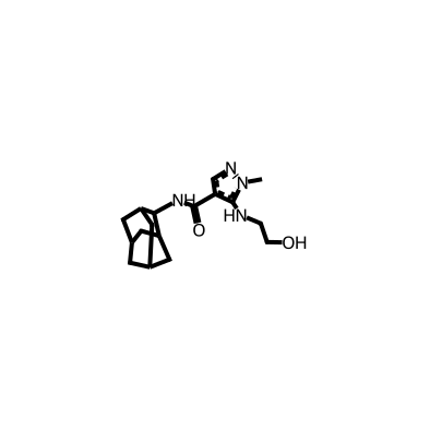 Cn1ncc(C(=O)NC2C3CC4CC(C3)CC2C4)c1NCCO